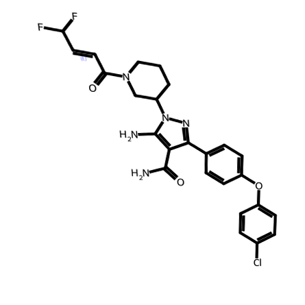 NC(=O)c1c(-c2ccc(Oc3ccc(Cl)cc3)cc2)nn(C2CCCN(C(=O)/C=C/C(F)F)C2)c1N